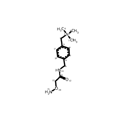 C[N+](C)(C)Cc1ccc(CNC(=O)CON)cc1